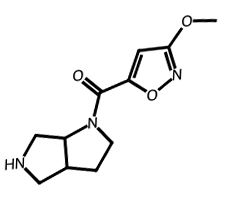 COc1cc(C(=O)N2CCC3CNCC32)on1